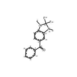 CN1c2ccc(C(=O)c3ccccc3)cc2N(C)C1(F)F